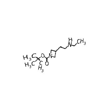 CCNCCC1CN(C(=O)OC(C)(C)C)C1